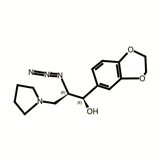 [N-]=[N+]=N[C@H](CN1CCCC1)[C@H](O)c1ccc2c(c1)OCCO2